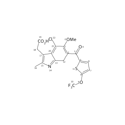 COC1=C(C(=O)c2ccc(OC(F)(F)F)s2)CC2=NC(C)=C(CC(=O)O)C2=C1Cl